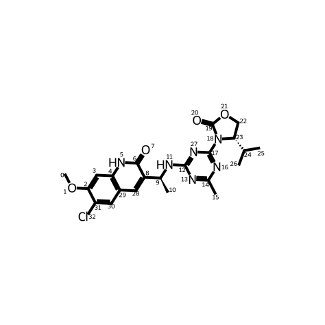 COc1cc2[nH]c(=O)c([C@H](C)Nc3nc(C)nc(N4C(=O)OC[C@@H]4C(C)C)n3)cc2cc1Cl